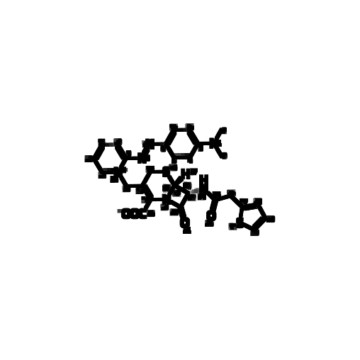 CN(C)c1ccc(N=Nc2cccc[n+]2CC2=C(C(=O)[O-])N3C(=O)[C@@H](NC(=O)Cc4cccs4)[C@H]3SC2)cc1